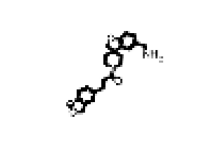 NCc1ccc2c(c1)C1(CCN(C(=O)C=Cc3ccc4c(c3)COO4)CC1)CO2